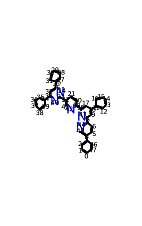 c1ccc(-c2ccc(-c3cc(-c4ccccc4)cc(-c4ccc(-c5nc(-c6ccccc6)cc(-c6ccccc6)n5)cn4)n3)nc2)cc1